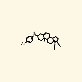 CC(=O)c1ccc(N(C)C2CCC3(C)C(=CCC4C3CCC35CN(C)C(C)C3CCC45)C2)cc1